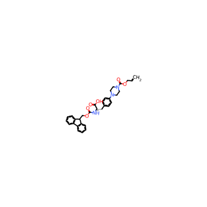 C=CCOC(=O)N1CCN(c2ccc(C[C@H](NC(=O)OCC3c4ccccc4-c4ccccc43)C(=O)O)cc2)CC1